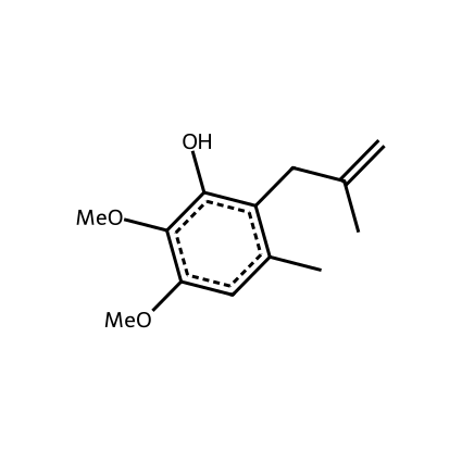 C=C(C)Cc1c(C)cc(OC)c(OC)c1O